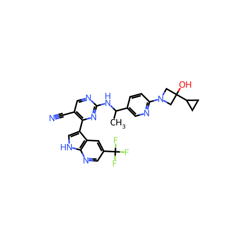 CC(Nc1ncc(C#N)c(-c2c[nH]c3ncc(C(F)(F)F)cc23)n1)c1ccc(N2CC(O)(C3CC3)C2)nc1